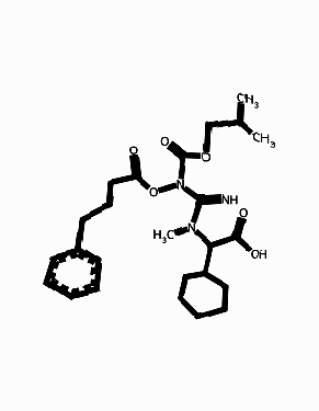 CC(C)COC(=O)N(OC(=O)CCCc1ccccc1)C(=N)N(C)C(C(=O)O)C1CCCCC1